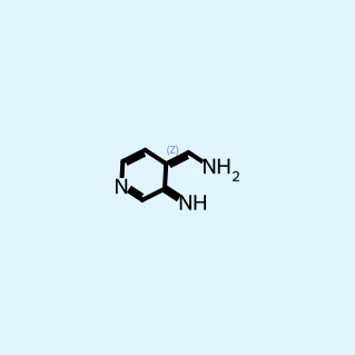 N=C1C=NC=C/C1=C/N